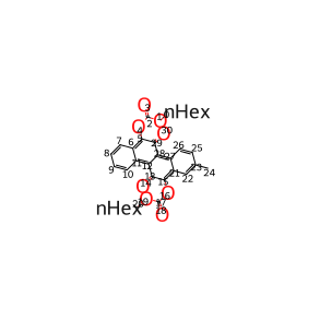 CCCCCCOC(=O)OC1=c2ccccc2=C2C(=O)C(OC(=O)OCCCCCC)=c3cc(C)ccc3=C2C1=O